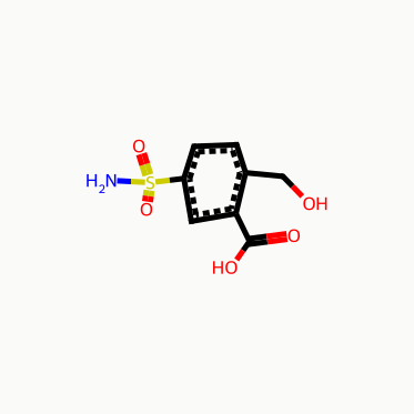 NS(=O)(=O)c1ccc(CO)c(C(=O)O)c1